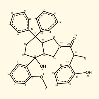 COc1ccccc1C1(O)CCC(c2ccccc2)(c2ccccc2)C2CN(C(=O)C(C)c3ccccc3O)CC21